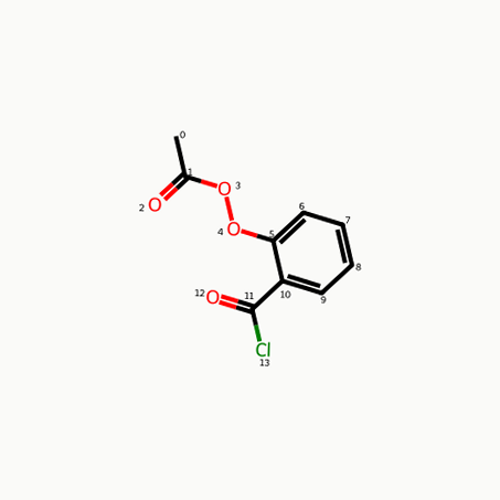 CC(=O)OOc1ccccc1C(=O)Cl